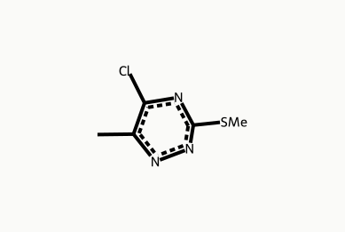 CSc1nnc(C)c(Cl)n1